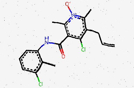 C=CCc1c(Cl)c(C(=O)Nc2cccc(Cl)c2C)c(C)[n+]([O-])c1C